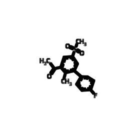 CC(=O)c1cc(S(C)(=O)=O)cc(-c2ccc(F)cc2)c1C